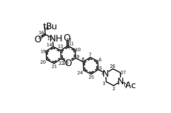 CC(=O)N1CCN(c2ccc(-c3cc(=O)c4c(NC(=O)C(C)(C)C)cccc4o3)cc2)CC1